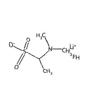 CC(N(C)C)S(=O)(=O)[O-].F.[Li+]